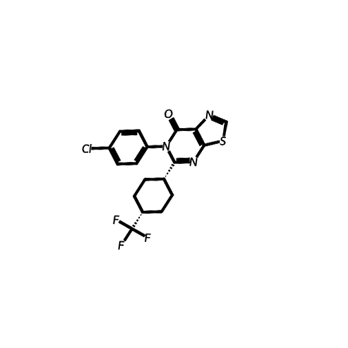 O=c1c2ncsc2nc([C@H]2CC[C@@H](C(F)(F)F)CC2)n1-c1ccc(Cl)cc1